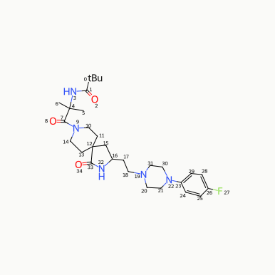 CC(C)(C)C(=O)NC(C)(C)C(=O)N1CCC2(CC1)CC(CCN1CCN(c3ccc(F)cc3)CC1)NC2=O